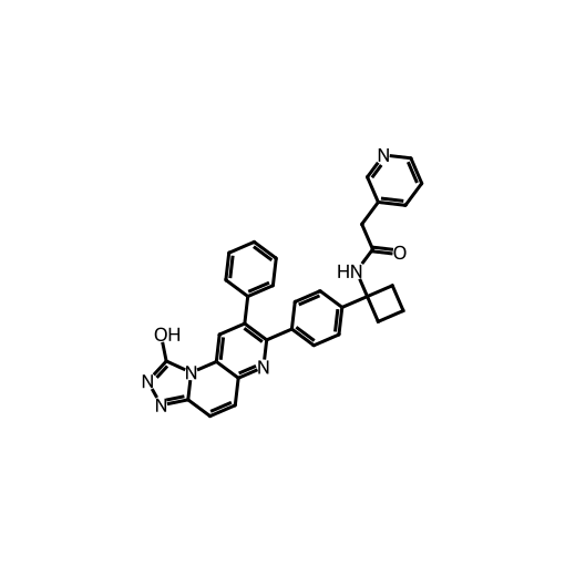 O=C(Cc1cccnc1)NC1(c2ccc(-c3nc4ccc5nnc(O)n5c4cc3-c3ccccc3)cc2)CCC1